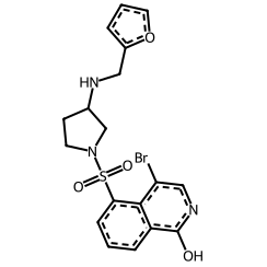 O=S(=O)(c1cccc2c(O)ncc(Br)c12)N1CCC(NCc2ccco2)C1